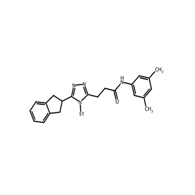 CCn1c(CCC(=O)Nc2cc(C)cc(C)c2)nnc1C1Cc2ccccc2C1